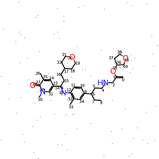 C=C(CNCCC(CC)c1ccc(/N=C(\CCC2CCOCC2)c2cc(C)c(=O)n(C)c2)c(C)c1)O[C@H]1CCOC1